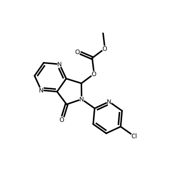 COC(=O)OC1c2nccnc2C(=O)N1c1ccc(Cl)cn1